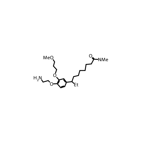 CCC(CCCCCCC(=O)NC)c1ccc(OCCN)c(OCCCOC)c1